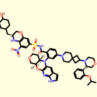 CC(C)Oc1ccccc1[C@@H]1COCCN1C1CC2(CCN(c3ccc(C(=O)NS(=O)(=O)c4cc5c(c([N+](=O)[O-])c4)N[C@@H](CC4CCC(O)CC4)CO5)c(N4c5cc6cc[nH]c6nc5O[C@H]5COCC[C@@H]54)c3)CC2)C1